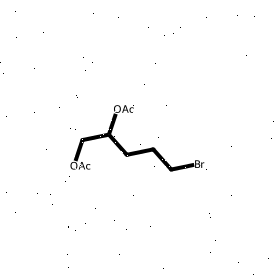 CC(=O)OCC(CCCBr)OC(C)=O